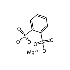 O=S(=O)([O-])c1ccccc1S(=O)(=O)[O-].[Mg+2]